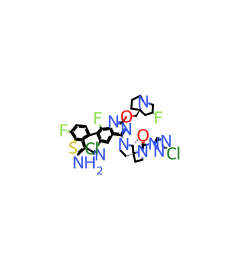 C[C@H]1N(c2nc(OC[C@@]34CCCN3C[C@H](F)C4)nc3c(F)c(-c4ccc(F)c5sc(N)c(C#N)c45)c(Cl)cc23)CC[C@]12CCN2C(=O)n1cnc(Cl)n1